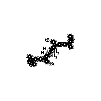 CC(C)(C)c1ccc2c(c1)c1cc(C(C)(C)CCC(C)(C)c3ccc4c(c3)c3cc(C(C)(C)C)ccc3n4-c3ccc(-c4ccc(-n5c6ccccc6c6ccc7oc8ccccc8c7c65)cc4)cc3)ccc1n2-c1ccc(-c2ccc(-n3c4ccccc4c4cc5oc6ccccc6c5cc43)cc2)cc1